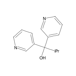 CC(C)C(O)(c1cccnc1)c1cccnc1